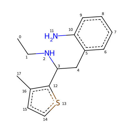 CCNC(Cc1ccccc1N)c1sccc1C